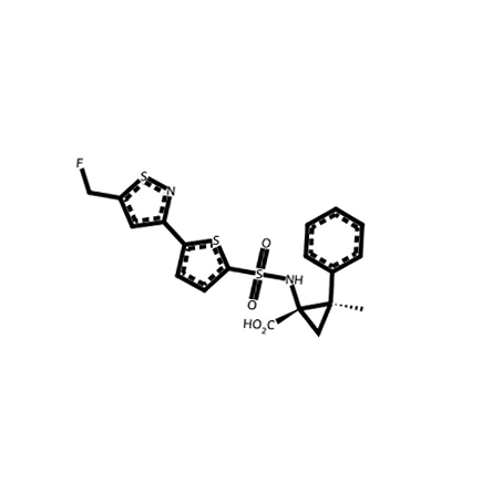 C[C@]1(c2ccccc2)C[C@@]1(NS(=O)(=O)c1ccc(-c2cc(CF)sn2)s1)C(=O)O